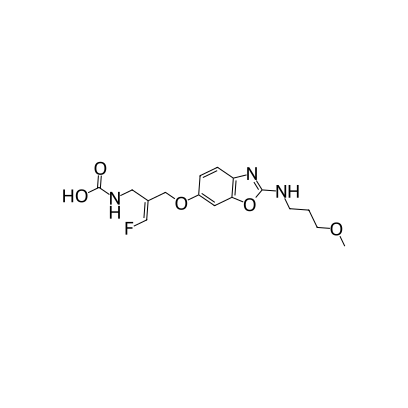 COCCCNc1nc2ccc(OCC(=CF)CNC(=O)O)cc2o1